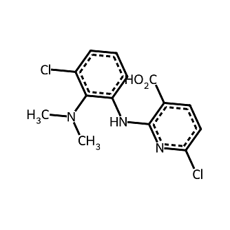 CN(C)c1c(Cl)cccc1Nc1nc(Cl)ccc1C(=O)O